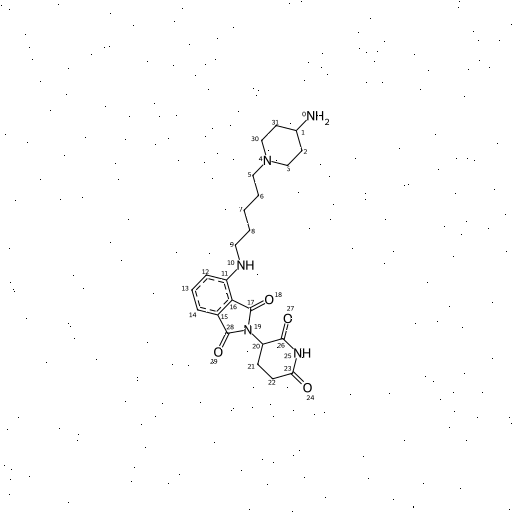 NC1CCN(CCCCCNc2cccc3c2C(=O)N(C2CCC(=O)NC2=O)C3=O)CC1